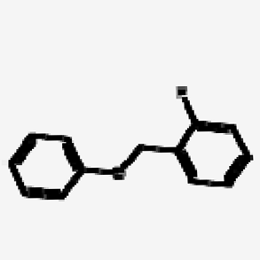 Fc1ccccc1COc1cc[c]cc1